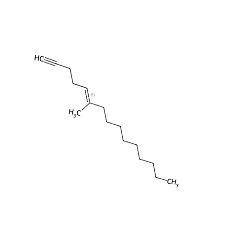 C#CCC/C=C(\C)CCCCCCCCC